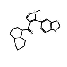 Cn1ncc(C(=O)N2CCCC3CCCCC32)c1-c1ccc2c(c1)OCO2